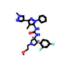 COCCN1C[C@@H](NC(=O)Nc2c(C)c(-c3cnn(C)c3)nn2-c2ccccc2)[C@H](c2ccc(F)cc2F)C1